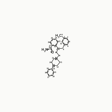 Cc1cccc(CN(CCN2CCN(c3ccccc3)CC2)c2ccccc2C(N)=O)c1